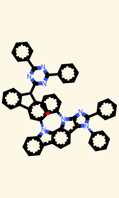 c1ccc(-c2nc(-c3ccccc3)nc(C3c4ccccc4-c4cc(-n5c6ccccc6c6ccc7c8c(nc(-c9ccccc9)n8-c8ccccc8)n(-c8ccccc8)c7c65)ccc43)n2)cc1